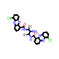 CCC(NC(=O)c1cccc2nc3c(Cl)cccc3nc12)C(N)C(CC)NC(=O)c1cccc2nc3c(Cl)cccc3nc12